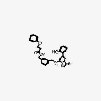 O=C(CCOc1ccccc1)NCc1cccc(CNC2=CC(c3ccccc3O)=NC3C(Br)C=NN23)c1